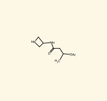 CC(=O)OC(C)CC(=O)NC1CNC1